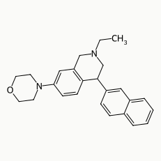 CCN1Cc2cc(N3CCOCC3)ccc2C(c2ccc3ccccc3c2)C1